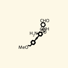 COCCc1ccc(C#Cc2ccc(S(=O)(=O)N[C@H]3CC[C@H](C=O)CC3)cc2N)cc1